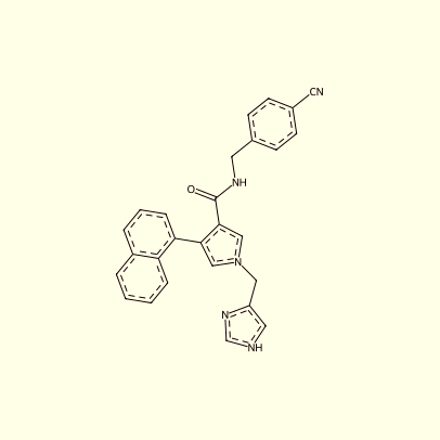 N#Cc1ccc(CNC(=O)c2cn(Cc3c[nH]cn3)cc2-c2cccc3ccccc23)cc1